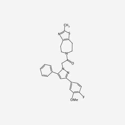 COc1cc(-c2cc(-c3ccccc3)n(CC(=O)N3CCc4nc(C)sc4CC3)n2)ccc1F